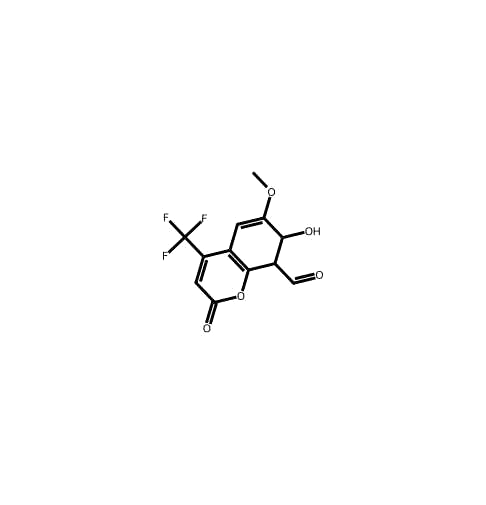 COC1=Cc2c(C(F)(F)F)cc(=O)oc2C(C=O)C1O